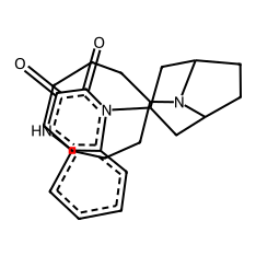 O=c1[nH]c2ccccc2n(C2CC3CCC(C2)N3C2CCCCCCC2)c1=O